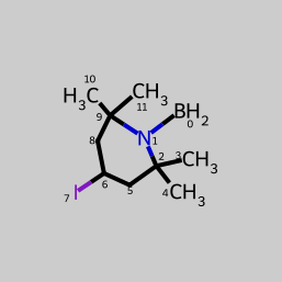 BN1C(C)(C)CC(I)CC1(C)C